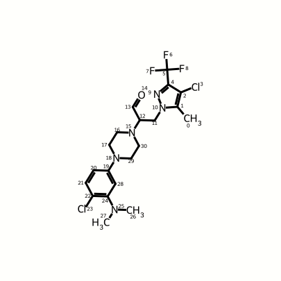 Cc1c(Cl)c(C(F)(F)F)nn1CC(C=O)N1CCN(c2ccc(Cl)c(N(C)C)c2)CC1